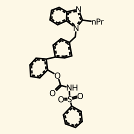 CCCc1nc2ccccc2n1Cc1ccc(-c2ccccc2OC(=O)NS(=O)(=O)c2ccccc2)cc1